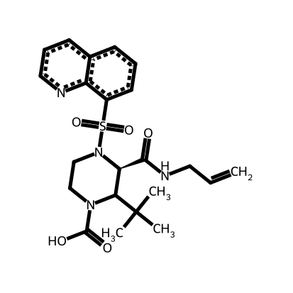 C=CCNC(=O)[C@H]1C(C(C)(C)C)N(C(=O)O)CCN1S(=O)(=O)c1cccc2cccnc12